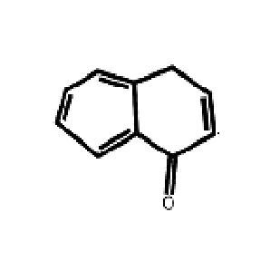 O=C1[C]=CCc2ccccc21